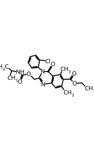 CCOC(=O)c1c(C)cc2nc(COC(=O)NC(C)C)n(-c3ccccc3Cl)c(=O)c2c1C